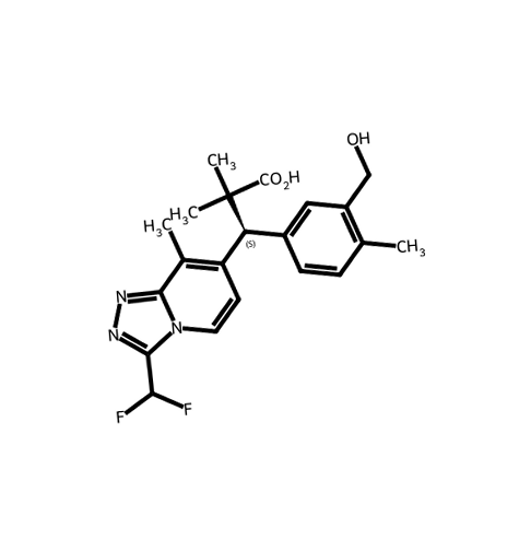 Cc1ccc([C@@H](c2ccn3c(C(F)F)nnc3c2C)C(C)(C)C(=O)O)cc1CO